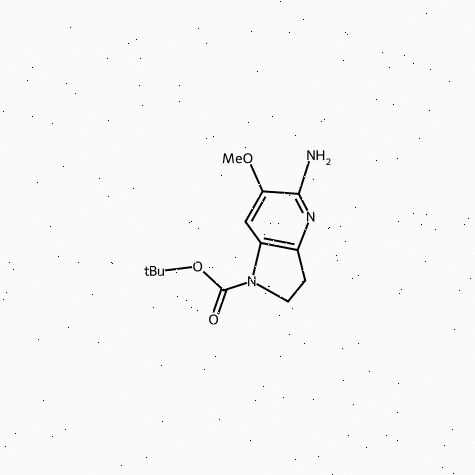 COc1cc2c(nc1N)CCN2C(=O)OC(C)(C)C